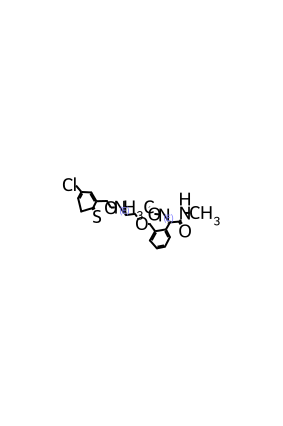 CNC(=O)/C(=N/OC)c1ccccc1COC/C=N/OCC1=CC(Cl)=CCC1=S